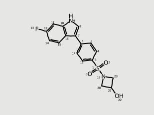 O=S(=O)(c1ccc(-c2c[nH]c3cc(F)ccc23)cc1)N1CC(O)C1